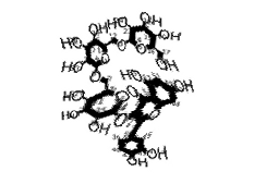 O=c1c(O[C@@H]2O[C@H](CO[C@@H]3O[C@H](CO[C@@H]4O[C@H](CO)[C@@H](O)[C@H](O)[C@H]4O)[C@@H](O)[C@H](O)[C@H]3O)[C@@H](O)[C@H](O)[C@H]2O)c(-c2ccc(O)c(O)c2)oc2cc(O)cc(O)c12